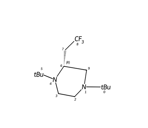 CC(C)(C)N1CCN(C(C)(C)C)[C@H](CC(F)(F)F)C1